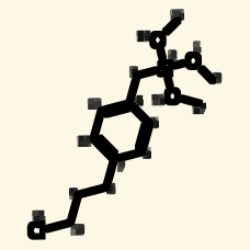 CO[Si](Cc1ccc(CCCCl)cc1)(OC)OC